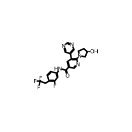 O=C(Nc1ccc(CC(F)(F)F)c(F)c1)c1cnc(N2CC[C@@H](O)C2)c(-c2cncnc2)c1